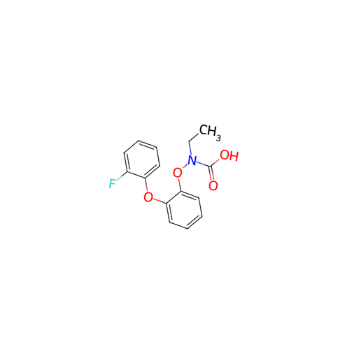 CCN(Oc1ccccc1Oc1ccccc1F)C(=O)O